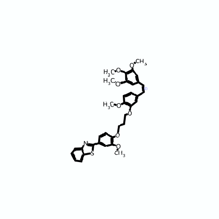 COc1cc(-c2nc3ccccc3s2)ccc1OCCCOc1cc(/C=C\c2cc(OC)c(OC)c(OC)c2)ccc1OC